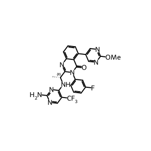 COc1ncc(-c2cccc3nc([C@@H](C)Nc4nc(N)ncc4C(F)(F)F)n(-c4cccc(F)c4)c(=O)c23)cn1